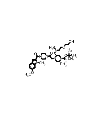 COc1ccc2cc(C(=O)N3CCN(C(=O)CN4C[C@@H](C)N(C(=O)OC(C)(C)C)C[C@@H]4CN(C)CCOCCO)CC3)n(C)c2c1